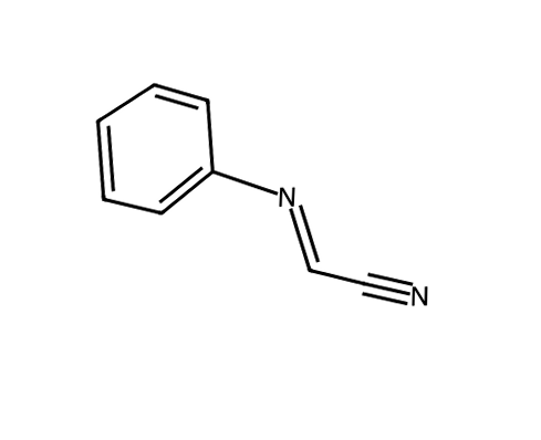 N#CC=Nc1ccccc1